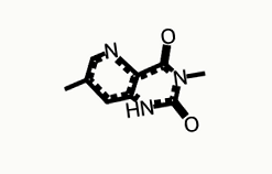 Cc1cnc2c(=O)n(C)c(=O)[nH]c2c1